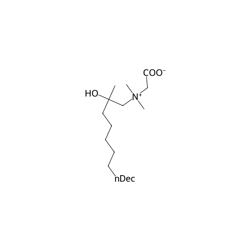 CCCCCCCCCCCCCCCC(C)(O)C[N+](C)(C)CC(=O)[O-]